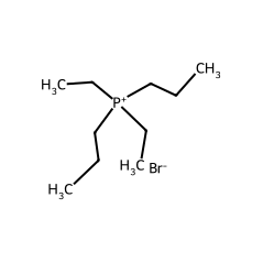 CCC[P+](CC)(CC)CCC.[Br-]